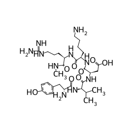 CNC(=O)[C@@H](CCCNC(=N)N)NC(=O)[C@@H](CCCCN)NC(=O)[C@@H](CC(=O)O)NC(=O)[C@H](NC(=O)[C@H](N)Cc1ccc(O)cc1)C(C)C